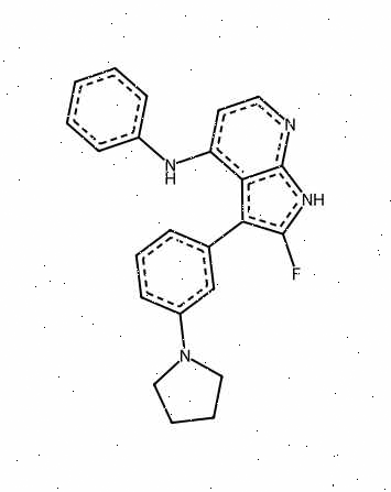 Fc1[nH]c2nccc(Nc3ccccc3)c2c1-c1cccc(N2CCCC2)c1